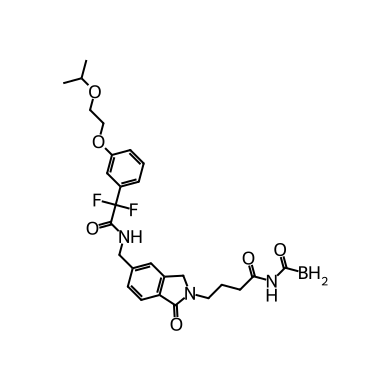 BC(=O)NC(=O)CCCN1Cc2cc(CNC(=O)C(F)(F)c3cccc(OCCOC(C)C)c3)ccc2C1=O